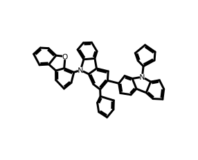 c1ccc(-c2cc3c(cc2-c2ccc4c5ccccc5n(-c5ccccc5)c4c2)c2ccccc2n3-c2cccc3c2oc2ccccc23)cc1